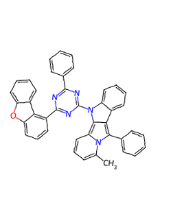 Cc1cccc2c3c(c(-c4ccccc4)n12)c1ccccc1n3-c1nc(-c2ccccc2)nc(-c2cccc3oc4ccccc4c23)n1